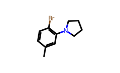 Cc1ccc(Br)c(N2CCCC2)c1